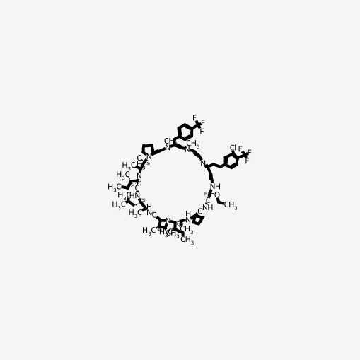 CCO[C@@H]1CNCC2(CCC2)NC(C)[C@H]([C@@H](C)CC)N2C(C)[C@@H](C)C2CNC(C)[C@H](CC(C)C)NC[C@H]([C@@H](C)CC)NC(C)[C@H](C)N2CCCC2=CN(C)C(Cc2ccc(C(F)(F)F)cc2)=CN(C)C=CN=C(CCc2ccc(C(F)(F)F)c(Cl)c2)C=CN1